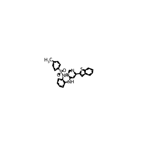 Cc1ccc(S(=O)(=O)Nc2ccccc2Nc2cc(-c3cc4ccccc4s3)ncn2)cc1